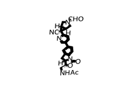 CC(=O)NC[C@@H]1OC(=O)N2c3ccc(-c4ccc([C@@]5(C#N)[C@@H]6CN(C=O)C[C@@H]65)nc4)cc3C[C@@H]12